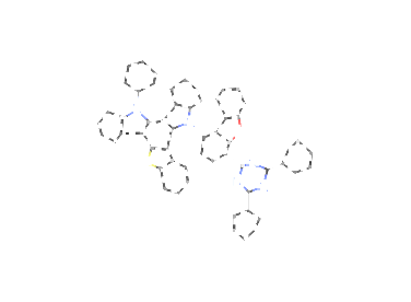 c1ccc(-c2nc(-c3ccccc3)nc(-c3ccc(-n4c5ccccc5c5c6c(c7ccccc7n6-c6ccccc6)c6sc7ccccc7c6c54)c4c3oc3ccccc34)n2)cc1